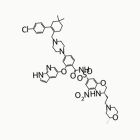 C[C@@H]1CN(CC[C@@H]2COc3cc(S(=O)(=O)NC(=O)c4ccc(N5CCN(CC6=C(c7ccc(Cl)cc7)CC(C)(C)CC6)CC5)cc4Oc4cnc5[nH]ccc5c4)cc([N+](=O)[O-])c3N2)CCO1